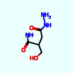 [NH]C(=O)C(CO)CC(=O)NN